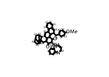 C1=CNc2ccccc2N=C1.COc1ccc(CC2C=c3ccccc3=c3ccc4c(c32)C(=O)C(N)C(=O)C=4CC23CC4CC(CC(C4)C2)C3)cc1